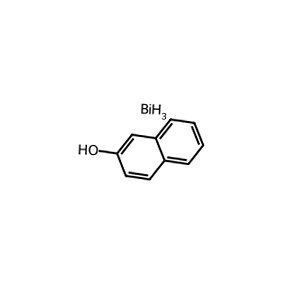 Oc1ccc2ccccc2c1.[BiH3]